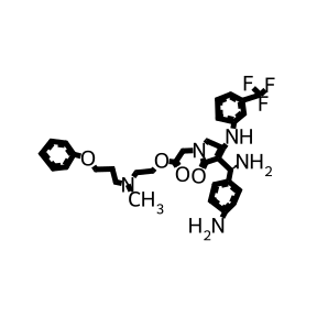 CN(CCCOc1ccccc1)CCOC(=O)CN1CC(Nc2cccc(C(F)(F)F)c2)=C([C@H](N)c2ccc(N)cc2)C1=O